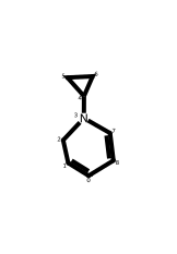 [C]1=CCN(C2CC2)C=C1